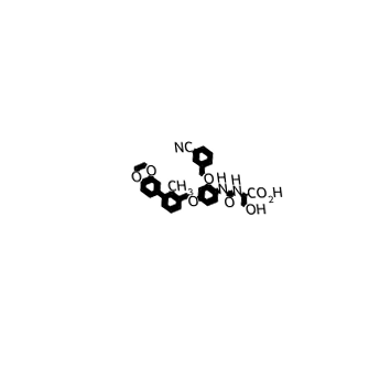 Cc1c(COc2ccc(NC(=O)N[C@@H](CO)C(=O)O)c(OCc3cccc(C#N)c3)c2)cccc1-c1ccc2c(c1)OCCO2